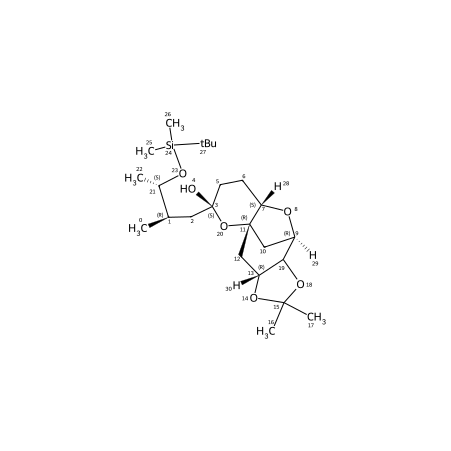 C[C@H](C[C@]1(O)CC[C@@H]2O[C@@H]3C[C@]2(C[C@H]2OC(C)(C)OC32)O1)[C@H](C)O[Si](C)(C)C(C)(C)C